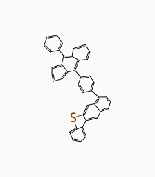 c1ccc(-c2c3ccccc3c(-c3ccc(-c4cccc5cc6c(cc45)sc4ccccc46)cc3)c3ccccc23)cc1